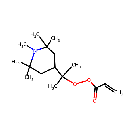 C=CC(=O)OOC(C)(C)C1CC(C)(C)N(C)C(C)(C)C1